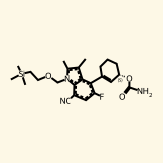 Cc1c(C)n(COCC[Si](C)(C)C)c2c(C#N)cc(F)c(C3=C[C@@H](OC(N)=O)CCC3)c12